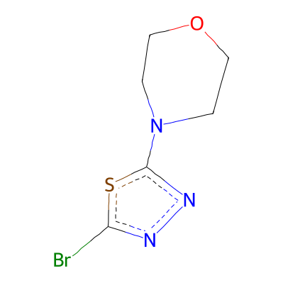 Brc1nnc(N2CCOCC2)s1